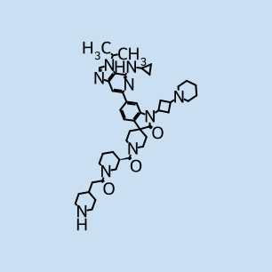 CC(C)n1cnc2cc(-c3ccc4c(c3)N(C3CC(N5CCCCC5)C3)C(=O)C43CCN(C(=O)[C@@H]4CCCN(C(=O)CC5CCNCC5)C4)CC3)nc(NC3CC3)c21